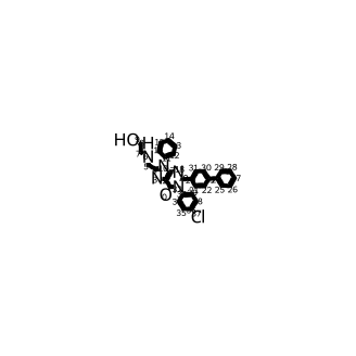 O=c1c2nc(CNCCO)n(-c3ccccc3)c2nc(-c2ccc(-c3ccccc3)cc2)n1-c1ccc(Cl)cc1